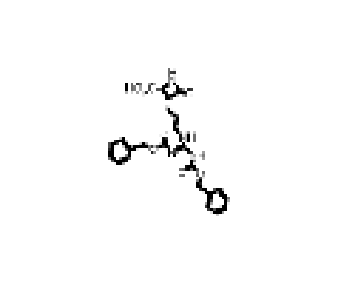 O=C(N=C(NCCC[C@@H]1C(=O)N[C@@H]1C(=O)O)NC(=O)OCc1ccccc1)OCc1ccccc1